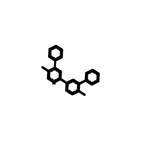 Cc1ccc(-c2cc(-c3ccccc3)c(C)cn2)cc1-c1ccccc1